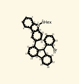 CCCCCCn1c2ccccc2c2cc(-c3cccc4c3C(c3ccccc3Br)c3ccccc3-4)ccc21